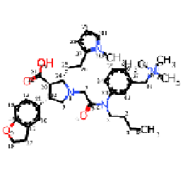 CCCCN(C(=O)CN1C[C@H](c2ccc3c(c2)CCO3)[C@@H](C(=O)O)[C@@H]1CCc1cccn1C)c1cccc(C[N+](C)(C)C)c1